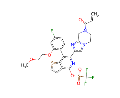 C=CC(=O)N1CCn2cc(-c3nc(OS(=O)(=O)C(F)(F)F)c4ccsc4c3-c3ccc(F)cc3OCCOC)nc2C1